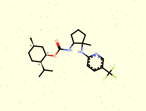 CC(C)[C@H]1CC[C@@H](C)C[C@H]1OC(=O)NC1CCCC1(C)Nc1ccc(C(F)(F)F)cn1